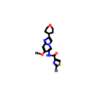 CCOc1cc2nc(C3CCOCC3)cn2cc1NC(=O)c1csc(CC)n1